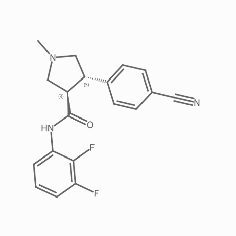 CN1C[C@H](C(=O)Nc2cccc(F)c2F)[C@@H](c2ccc(C#N)cc2)C1